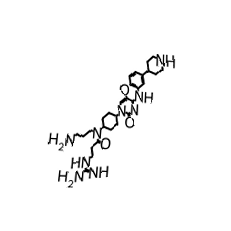 N=C(N)NCCC(=O)N(CCCN)C1CCC(n2cc3c(nc2=O)Nc2cc(C4CCNCC4)ccc2O3)CC1